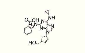 Nc1nc(NC2CC2)c2ncn(C3C=CC(CO)C3)c2n1.O=C(O)c1ccccc1